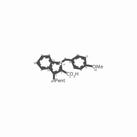 CCCCCc1c(C(=O)O)n(Cc2ccc(OC)cc2)c2ccccc12